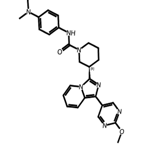 COc1ncc(-c2nc([C@@H]3CCCN(C(=O)Nc4ccc(N(C)C)cc4)C3)n3ccccc23)cn1